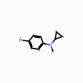 CCc1ccc(N(C)C2CC2)cc1